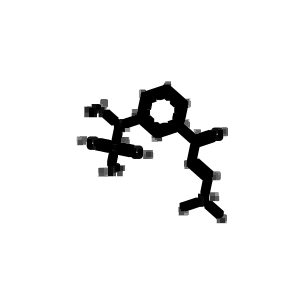 CCCN(c1cccc(C(=O)C=CN(C)C)c1)S(=O)(=O)C(C)C